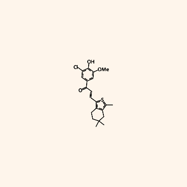 COc1cc(C(=O)C=Cc2sc(C)c3c2CCC(C)(C)C3)cc(Cl)c1O